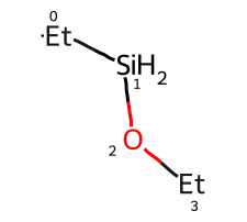 C[CH][SiH2]OCC